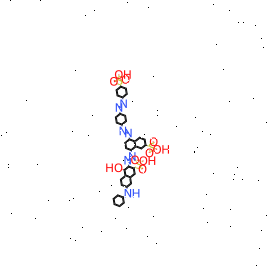 O=S(=O)(O)c1ccc(N=Nc2ccc(N=Nc3ccc(N=Nc4c(S(=O)(=O)O)cc5cc(Nc6ccccc6)ccc5c4O)c4cc(S(=O)(=O)O)ccc34)cc2)cc1